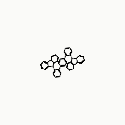 C1=CC2C3=C(C=CCC3)N(c3ccccc3-c3ccc(-c4ccccc4N4c5ccccc5C5C=CC=CC54)cc3)C2C=C1